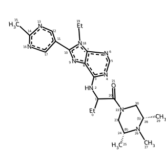 CCC(Nc1ncnc2c1nc(-c1cnc(C)nc1)n2CC)C(=O)N1C[C@@H](C)N(C)[C@@H](C)C1